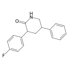 O=C1NCC(c2ccccc2)CC1c1ccc(F)cc1